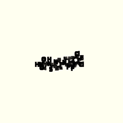 O=C1NOCC1NC(=S)c1ccc(N2CCC(c3cc(Cl)c(F)c(Cl)c3)(C(F)(F)F)C2)cn1